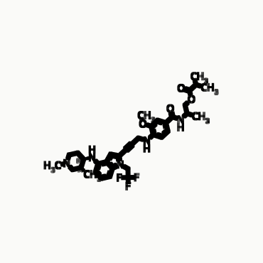 COc1cc(C(=O)NC(C)COC(=O)C(C)C)ccc1NCC#Cc1cc2c(N[C@@H]3CCN(C)C[C@@H]3C)cccc2n1CC(F)(F)F